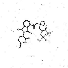 CC(C)(C)CN(CC1(CNc2cccc3c2C(=O)N(C2CCC(=O)NC2=O)C3=O)CCC1)C(=O)O